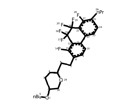 CCCCOC1CCC(CCc2ccc3c(c2F)C(F)(F)C(F)(F)c2c-3ccc(CCC)c2F)OC1